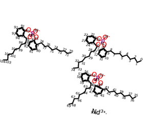 CCCCCCCCCc1ccccc1OP(=O)([O-])Oc1ccccc1CCCCCCCCC.CCCCCCCCCc1ccccc1OP(=O)([O-])Oc1ccccc1CCCCCCCCC.CCCCCCCCCc1ccccc1OP(=O)([O-])Oc1ccccc1CCCCCCCCC.[Nd+3]